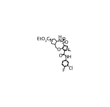 CCOC(=O)N1CC2COc3c(cn(C)c3C(=O)Nc3ccc(F)c(Cl)c3)S(=O)(=O)NC2C1